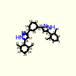 Cc1cccc(C)c1-c1cc(-c2cccc(-c3cc(-c4c(C)cccc4C)[nH]n3)c2)n[nH]1